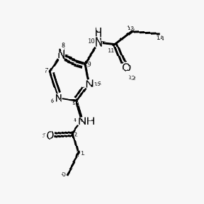 CCC(=O)Nc1ncnc(NC(=O)CC)n1